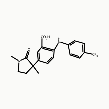 CN1CCC(C)(c2ccc(Nc3ccc(C(F)(F)F)cc3)c(C(=O)O)c2)C1=O